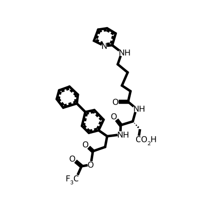 O=C(O)C[C@@H](NC(=O)CCCCNc1ccccn1)C(=O)NC(CC(=O)OC(=O)C(F)(F)F)c1ccc(-c2ccccc2)cc1